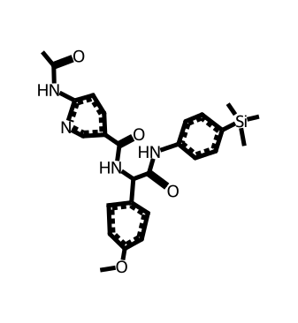 COc1ccc(C(NC(=O)c2ccc(NC(C)=O)nc2)C(=O)Nc2ccc([Si](C)(C)C)cc2)cc1